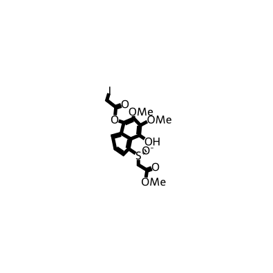 COC(=O)C[S+]([O-])c1cccc2c(OC(=O)CI)c(OC)c(OC)c(O)c12